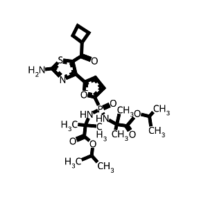 CC(C)OC(=O)C(C)(C)NP(=O)(NC(C)(C)C(=O)OC(C)C)c1ccc(-c2nc(N)sc2C(=O)C2CCC2)o1